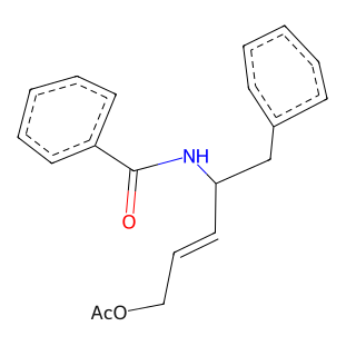 CC(=O)OCC=CC(Cc1ccccc1)NC(=O)c1ccccc1